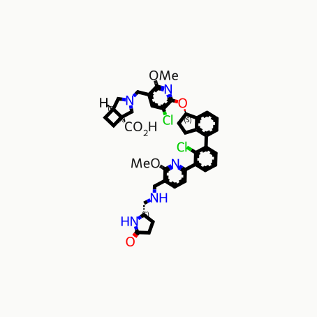 COc1nc(-c2cccc(-c3cccc4c3CC[C@@H]4Oc3nc(OC)c(CN4C[C@@H]5CC[C@]5(C(=O)O)C4)cc3Cl)c2Cl)ccc1CNC[C@@H]1CCC(=O)N1